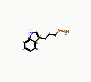 SSCCCc1c[nH]c2ccccc12